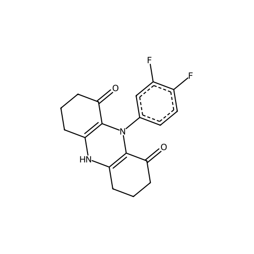 O=C1CCCC2=C1N(c1ccc(F)c(F)c1)C1=C(CCCC1=O)N2